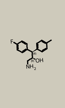 Cc1ccc([C@H](c2ccc(F)cc2)[C@@H](O)CN)cc1